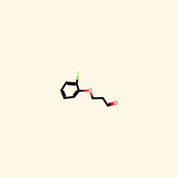 O=CCCOc1ccccc1F